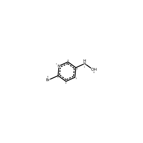 ONc1ccc(Br)nc1